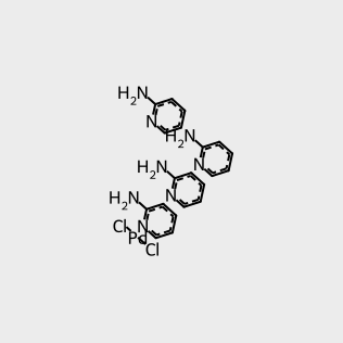 Nc1ccccn1.Nc1ccccn1.Nc1ccccn1.Nc1ccccn1.[Cl][Pd][Cl]